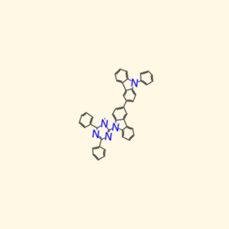 CN1C(n2c3ccccc3c3cc(-c4ccc5c(c4)c4ccccc4n5-c4ccccc4)ccc32)=NC(c2ccccc2)=NC1c1ccccc1